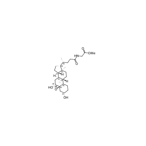 COC(=O)CNC(=O)CC[C@@H](C)[C@H]1CC[C@H]2[C@@H]3C[C@@H](O)[C@@]4(O)C[C@@H](O)CC[C@]4(C)[C@H]3CC[C@]12C